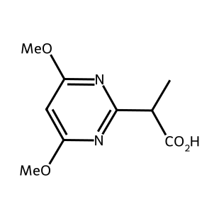 COc1cc(OC)nc(C(C)C(=O)O)n1